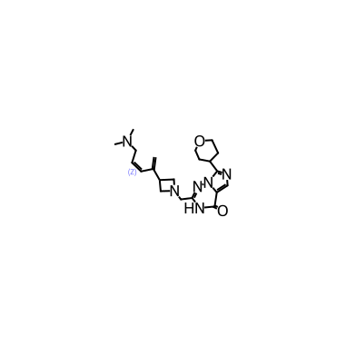 C=C(/C=C\CN(C)C)C1CN(Cc2nn3c(C4CCOCC4)ncc3c(=O)[nH]2)C1